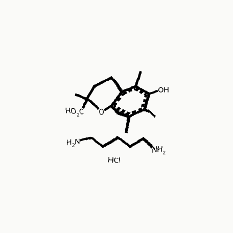 Cc1c(C)c2c(c(C)c1O)CCC(C)(C(=O)O)O2.Cl.NCCCCCN